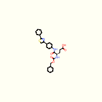 O=C(O)CC[C@@H](NC(=O)OCc1ccccc1)C(=O)Nc1ccc(-c2csc(-c3ccccc3)n2)cc1